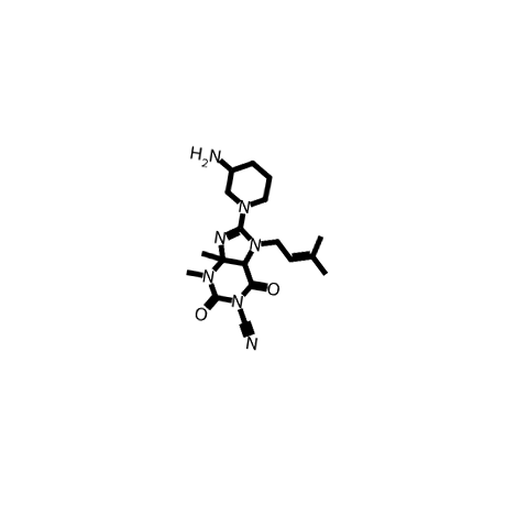 CC(C)=CCN1C(N2CCCC(N)C2)=NC2(C)C1C(=O)N(C#N)C(=O)N2C